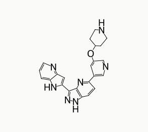 c1cnc2cc(-c3n[nH]c4ccc(-c5cncc(OC6CCNCC6)c5)nc34)[nH]c2c1